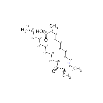 C/C=C/CCCCCCC(C)C(=O)O.C=CCCCCCCCCC(=O)OC